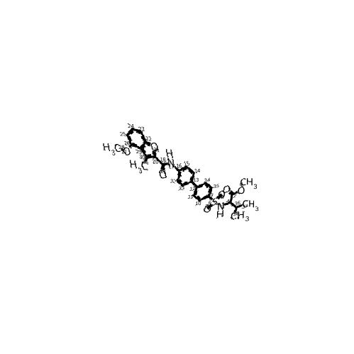 COC(=O)C(NS(=O)(=O)c1ccc(-c2ccc(NC(=O)c3oc4cccc(OC)c4c3C)cc2)cc1)C(C)C